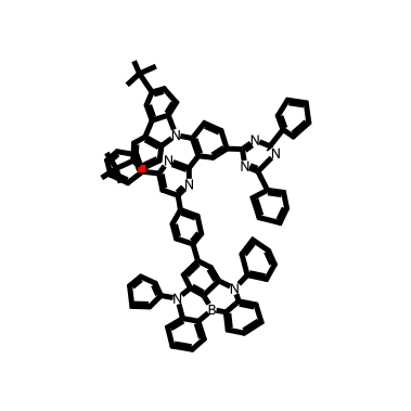 CC(C)(C)c1ccc2c(c1)c1cc(C(C)(C)C)ccc1n2-c1ccc(-c2nc(-c3ccccc3)nc(-c3ccccc3)n2)cc1-c1nc(-c2ccccc2)cc(-c2ccc(-c3cc4c5c(c3)N(c3ccccc3)c3ccccc3B5c3ccccc3N4c3ccccc3)cc2)n1